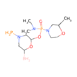 BC1CN(P)CC(OP(=O)(N(C)C)N2CCOC(C)C2)O1